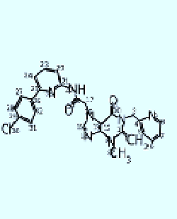 C=C1N(Cc2ccccn2)C(=O)c2c(ncn2CC(=O)Nc2cccc(-c3ccc(Cl)cc3)n2)N1C